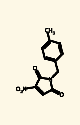 Cc1ccc(CN2C(=O)C=C([N+](=O)[O-])C2=O)cc1